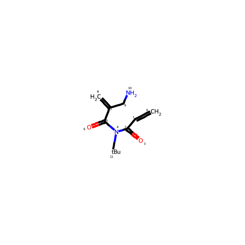 C=CC(=O)N(C(=O)C(=C)CN)C(C)(C)C